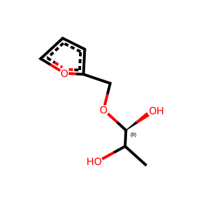 CC(O)[C@H](O)OCc1ccco1